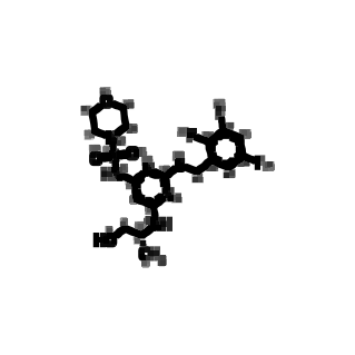 C[C@H](CO)Nc1cc(NS(=O)(=O)N2CCOCC2)nc(SCc2cc(F)cc(F)c2F)n1